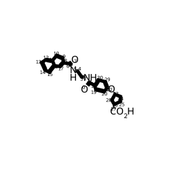 O=C(NCCNC(=O)c1ccc2ccccc2c1)c1ccc(O[C@@H]2CC[C@H](C(=O)O)C2)cc1